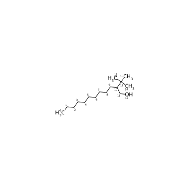 CCCCCCCCCCC(CO)C(C)(C)C